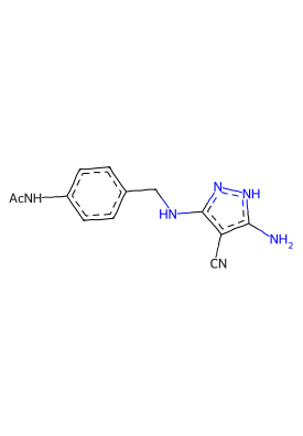 CC(=O)Nc1ccc(CNc2n[nH]c(N)c2C#N)cc1